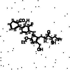 CCOc1nc(CO)c(CNC(=O)C(S)CC(C)C)n1Cc1ccc(-c2ccccc2C(=O)O)cc1F